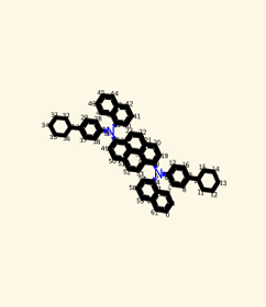 c1ccc2c(N(c3ccc(C4CCCCC4)cc3)c3ccc4ccc5c(N(c6ccc(C7CCCCC7)cc6)c6cccc7ccccc67)ccc6ccc3c4c65)cccc2c1